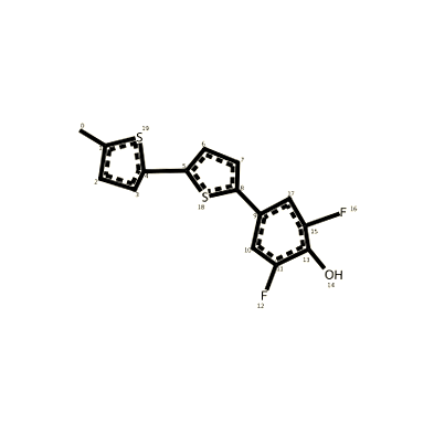 Cc1ccc(-c2ccc(-c3cc(F)c(O)c(F)c3)s2)s1